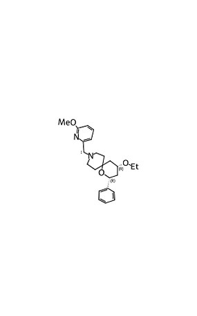 CCO[C@@H]1C[C@H](c2ccccc2)OC2(CCN([C]c3cccc(OC)n3)CC2)C1